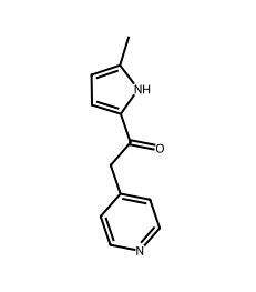 Cc1ccc(C(=O)Cc2ccncc2)[nH]1